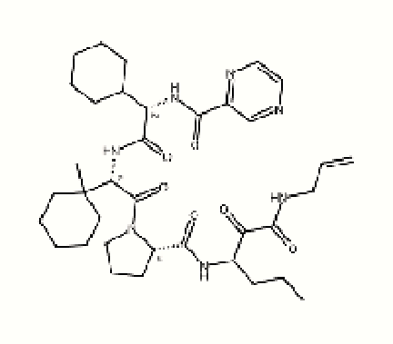 C=CCNC(=O)C(=O)C(CCC)NC(=O)[C@@H]1CCCN1C(=O)[C@@H](NC(=O)[C@@H](NC(=O)c1cnccn1)C1CCCCC1)C1(C)CCCCC1